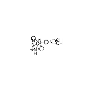 N#CC1(NC(=O)[C@@H]2CCCC[C@H]2c2oc(-c3ccccn3)nc2-c2ccc(N3CCS(O)(O)CC3)cc2)CC1